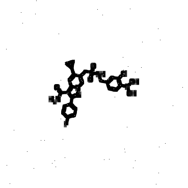 NC(=O)c1c(-c2ccc(F)cc2)nn2cc(CS(=O)(=O)NCc3ccc(B(O)O)c(Cl)c3)c(C3CC3)cc12